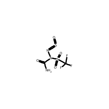 NC(=O)N(N=S=O)S(=O)(=O)C(F)(F)F